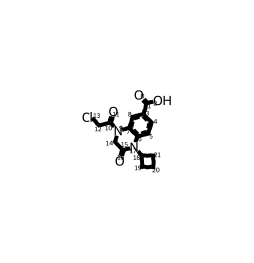 O=C(O)c1ccc2c(c1)N(C(=O)CCl)CC(=O)N2C1CCC1